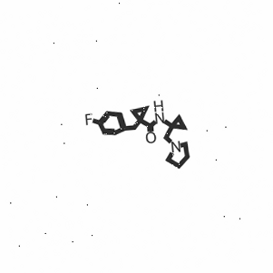 O=C(NC1(CN2CCCC2)CC1)C1(Cc2ccc(F)cc2)CC1